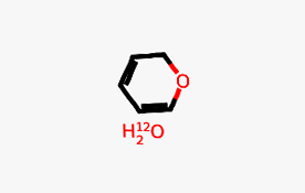 C1=CCOC=C1.[12OH2]